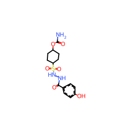 NC(=O)OC1CCC(S(=O)(=O)NNC(=O)c2ccc(O)cc2)CC1